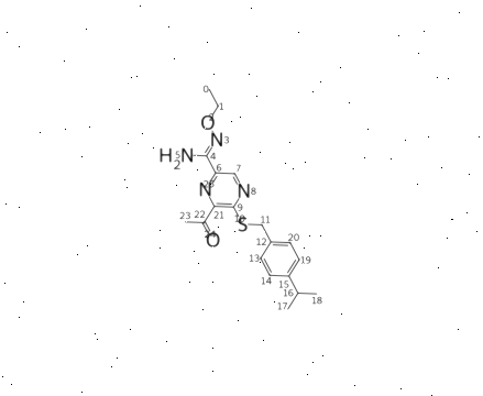 CCO/N=C(\N)c1cnc(SCc2ccc(C(C)C)cc2)c(C(C)=O)n1